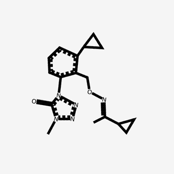 CC(=NOCc1c(C2CC2)cccc1-n1nnn(C)c1=O)C1CC1